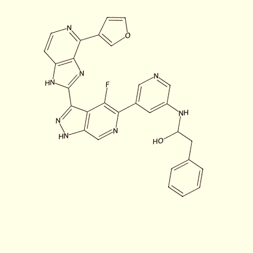 OC(Cc1ccccc1)Nc1cncc(-c2ncc3[nH]nc(-c4nc5c(-c6ccoc6)nccc5[nH]4)c3c2F)c1